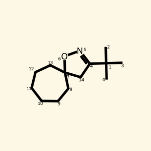 CC(C)(C)C1=NOC2(CCCCCC2)C1